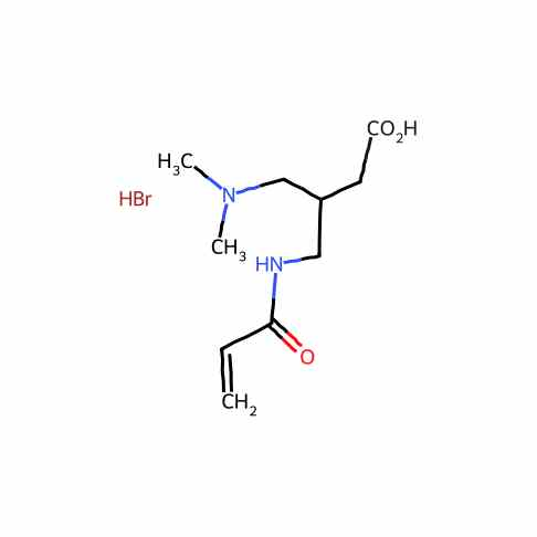 Br.C=CC(=O)NCC(CC(=O)O)CN(C)C